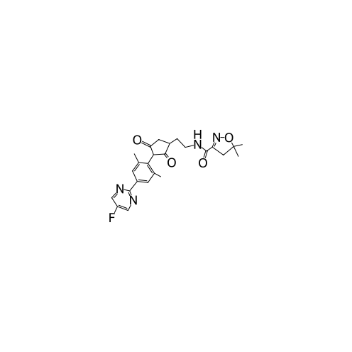 Cc1cc(-c2ncc(F)cn2)cc(C)c1C1C(=O)CC(CCNC(=O)C2=NOC(C)(C)C2)C1=O